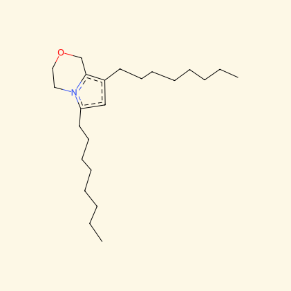 CCCCCCCCc1cc(CCCCCCCC)n2c1COCC2